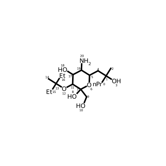 CCCC(C)(O)CC1OC(O)(CO)C(OC(C)(CC)CC)C(O)C1N